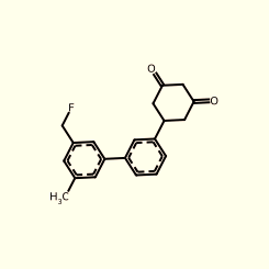 Cc1cc(CF)cc(-c2cccc(C3CC(=O)CC(=O)C3)c2)c1